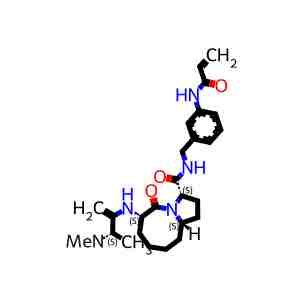 C=CC(=O)Nc1cccc(CNC(=O)[C@@H]2CC[C@@H]3CCCC[C@H](NC(=C)[C@H](C)NC)C(=O)N32)c1